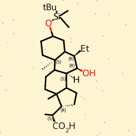 CC[C@@H]1C2CC(O[Si](C)(C)C(C)(C)C)CC[C@]2(C)C2CCC3(C)C(CC[C@@H]3[C@H](C)C(=O)O)[C@@H]2[C@@H]1O